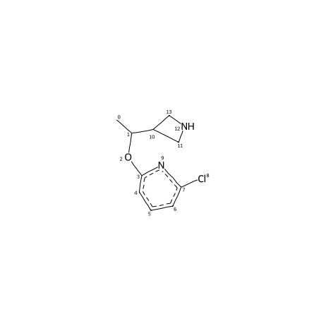 CC(Oc1cccc(Cl)n1)C1CNC1